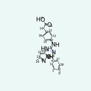 Cc1ccc(C(=O)/N=C(/Nc2ccc(CC(=O)O)cc2)Nc2cc(C)n[nH]2)cc1